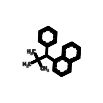 CC(C)(C)[C](c1ccccc1)c1cccc2ccccc12